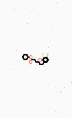 O=C(CCC1CCc2ccc(F)c(F)c2O1)OC1CCCCC1